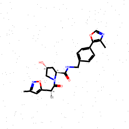 CC[C@@H](C(=O)N1C[C@H](O)C[C@H]1C(=O)NCc1ccc(-c2ocnc2C)cc1)c1cc(C)no1